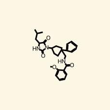 COc1ccccc1C(=O)NCC1(c2ccccc2)CCC(N2C(=O)NC(CC(C)C)C2=O)CC1